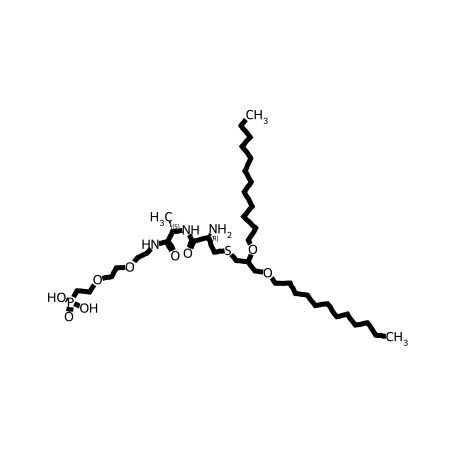 CCCCCCCCCCCCOCC(CSC[C@H](N)C(=O)N[C@@H](C)C(=O)NCCOCCOCCP(=O)(O)O)OCCCCCCCCCCCC